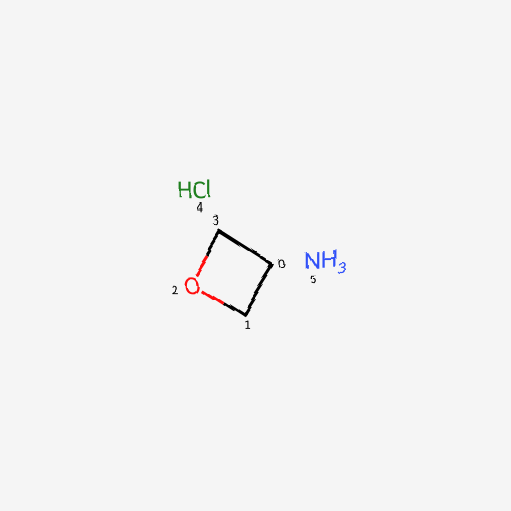 C1COC1.Cl.N